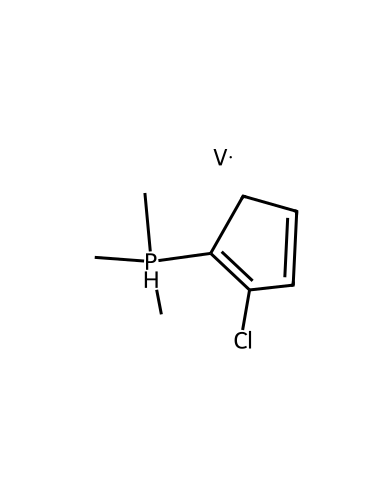 C[PH](C)(C)C1=C(Cl)C=CC1.[V]